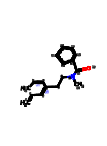 C=C/C=C(\C=C/C)CCN(C)C(=O)c1ccccc1